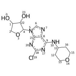 OC1COC(n2cnc3c(NC4CCOCC4)nc(Cl)nc32)C1O